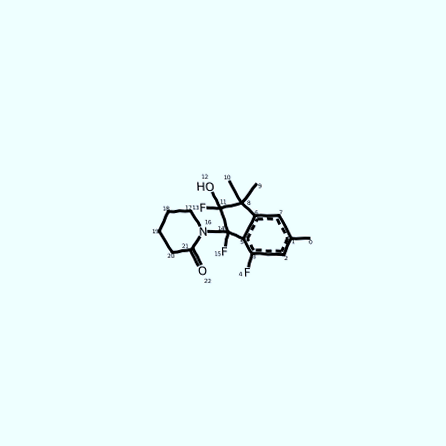 Cc1cc(F)c2c(c1)C(C)(C)C(O)(F)C2(F)N1CCCCC1=O